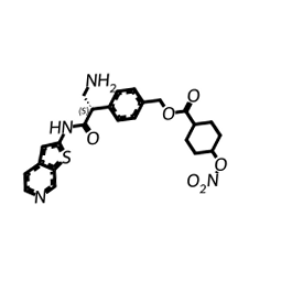 NC[C@@H](C(=O)Nc1cc2ccncc2s1)c1ccc(COC(=O)C2CCC(O[N+](=O)[O-])CC2)cc1